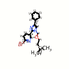 C[SiH](C)CCOCn1cc(-c2ccccc2)nc1-c1ccc(Br)nc1